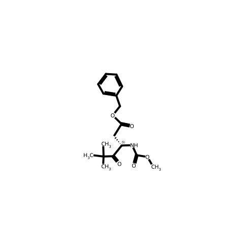 COC(=O)N[C@@H](CC(=O)OCc1ccccc1)C(=O)C(C)(C)C